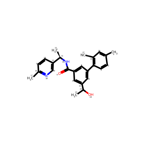 Cc1ccc(-c2cc(C(=O)N[C@H](C)c3ccc(C)nc3)cc(C(C)O)c2)c(C#N)c1